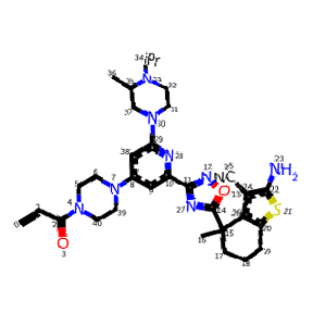 C=CC(=O)N1CCN(c2cc(-c3noc(C4(C)CCCc5sc(N)c(C#N)c54)n3)nc(N3CCN(C(C)C)C(C)C3)c2)CC1